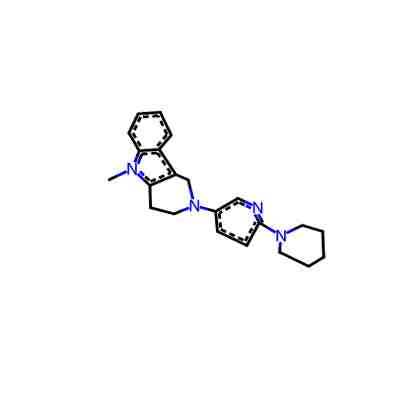 Cn1c2c(c3ccccc31)CN(c1ccc(N3CCCCC3)nc1)CC2